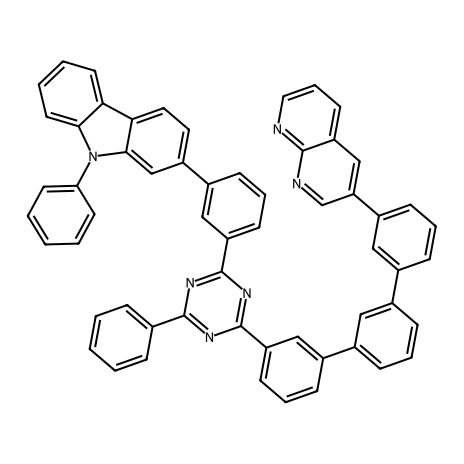 c1ccc(-c2nc(-c3cccc(-c4cccc(-c5cccc(-c6cnc7ncccc7c6)c5)c4)c3)nc(-c3cccc(-c4ccc5c6ccccc6n(-c6ccccc6)c5c4)c3)n2)cc1